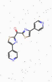 O=C(c1nc(-c2ccncc2)cs1)c1nc(-c2ccncc2)cs1